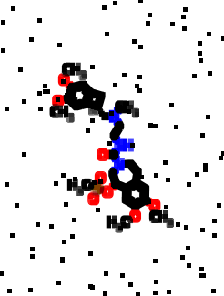 COc1cc2c(cc1OC)C(OS(C)(=O)=O)CN(C(=O)NCCN(C)C[C@H]1Cc3cc(OC)c(OC)cc31)CC2